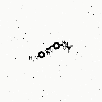 Nc1ccc(-n2cc(Cc3ccc(-c4nnc(C(F)F)o4)cc3)nn2)cc1